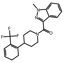 Cn1nc(C(=O)N2CCC(C3=C(C(F)(F)F)C=CCC3)CC2)c2ccccc21